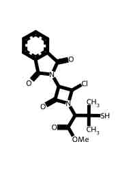 COC(=O)C(N1C(=O)C(N2C(=O)c3ccccc3C2=O)C1Cl)C(C)(C)S